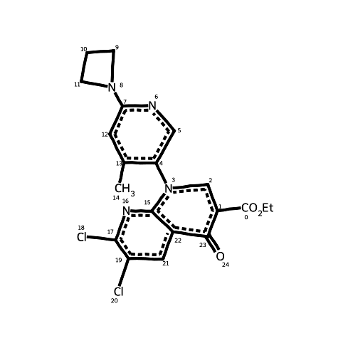 CCOC(=O)c1cn(-c2cnc(N3CCC3)cc2C)c2nc(Cl)c(Cl)cc2c1=O